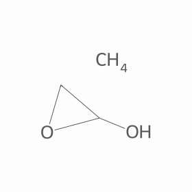 C.OC1CO1